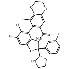 NC(=O)c1cc2c(c(F)c1-c1c(Cl)c(F)cc3c1C[C@](c1cccc(F)c1)([C@@H]1CCCN1)O3)OCCO2